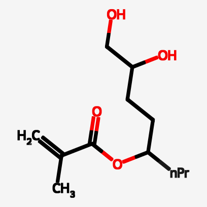 C=C(C)C(=O)OC(CCC)CCC(O)CO